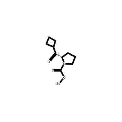 CC(C)(C)OC(=O)N1CCC[C@H]1C(=O)C1CCC1